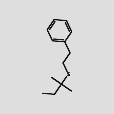 CCC(C)(C)SCCc1ccccc1